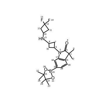 CC1(C)C(=O)N(C2CC(NC3CC(F)(F)C3)C2)c2cc(B3OC(C)(C)C(C)(C)O3)ccc21